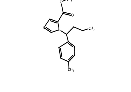 CCCC(c1ccc(C)cc1)n1cncc1C(=O)OC